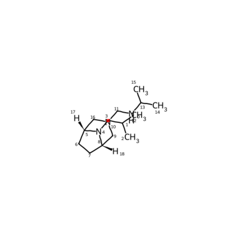 CC(C)CN1[C@@H]2CC[C@H]1CN(CNC(C)C)C2